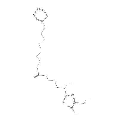 C=C(CCCOCCCCc1ccccc1)CCNCC(O)c1ccc(O)c(CO)c1